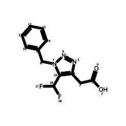 O=C(O)Cc1nnn(Cc2ccccc2)c1C(F)F